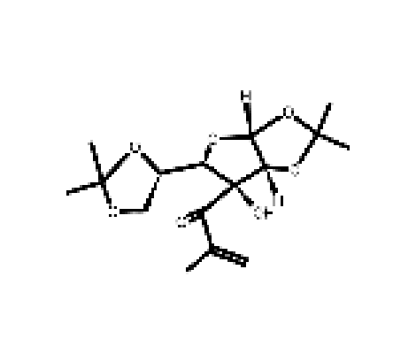 C=C(C)C(=O)[C@]1(O)[C@@H]([C@H]2COC(C)(C)O2)O[C@@H]2OC(C)(C)O[C@@H]21